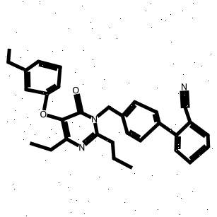 CCCc1nc(CC)c(Oc2cccc(CC)c2)c(=O)n1Cc1ccc(-c2ccccc2C#N)cc1